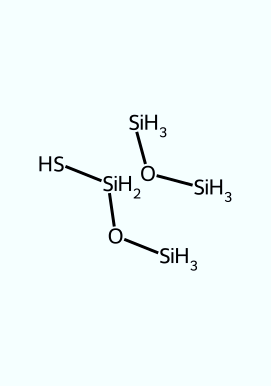 [SiH3]O[SiH2]S.[SiH3]O[SiH3]